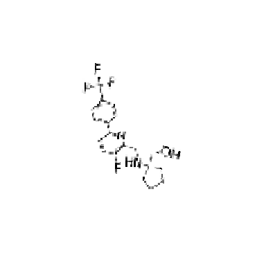 OCC1(NCc2nc(-c3ccc(C(F)(F)F)cc3)ccc2F)CCCC1